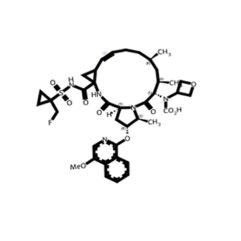 COc1cnc(O[C@@H]2C[C@H]3C(=O)NC4(C(=O)NS(=O)(=O)C5(CF)CC5)CC4/C=C\CC[C@@H](C)C[C@@H](C)[C@H](N(C(=O)O)C4COC4)C(=O)N3[C@H]2C)c2ccccc12